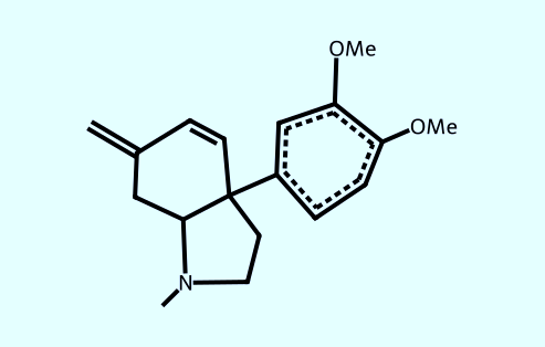 C=C1C=CC2(c3ccc(OC)c(OC)c3)CCN(C)C2C1